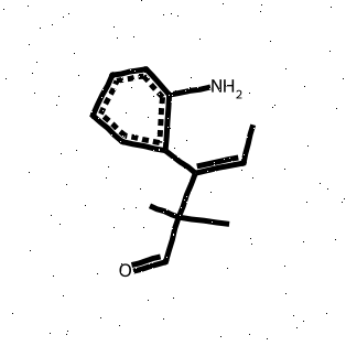 C/C=C(\c1ccccc1N)C(C)(C)C=O